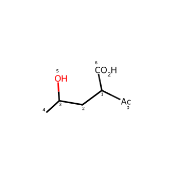 CC(=O)C(CC(C)O)C(=O)O